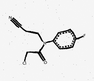 N#CCCN(C(=O)CCl)c1ccc(F)cc1